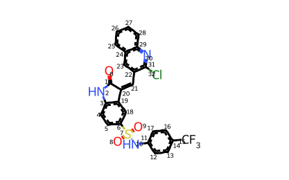 O=C1Nc2ccc(S(=O)(=O)Nc3ccc(C(F)(F)F)cc3)cc2C1=Cc1cc2ccccc2nc1Cl